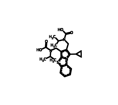 CC(C)N(Cc1c(CN(C(=O)O)C(C)C)c2sc3ccccc3n2c1C1CC1)C(=O)O